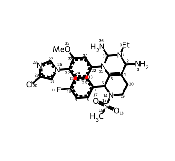 CCN1C(N)C2=C(C(c3ccc(F)cc3)N(S(C)(=O)=O)CC2)N(c2ccc(-n3cnc(Cl)c3)c(OC)c2)C1N